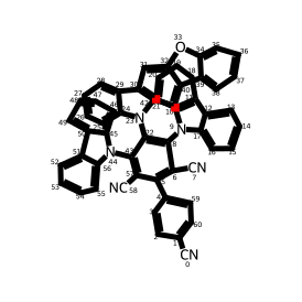 N#Cc1ccc(-c2c(C#N)c(-n3c4c(c5ccccc53)CCC=C4)c(-n3c4ccccc4c4cc5oc6ccccc6c5cc43)c(-n3c4ccccc4c4ccccc43)c2C#N)cc1